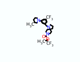 CC1CCCN(c2cc(CN3CCCC34CCN(C(=O)OC(C)C(F)(F)F)CC4)cc(C(F)(F)F)c2)C1